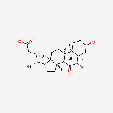 C[C@H](CCC(=O)O)[C@H]1CC[C@H]2[C@@H]3C(=O)[C@H](F)[C@@H]4C[C@H](O)CC[C@]4(C)[C@H]3CC[C@]12C